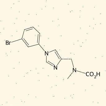 CN(Cc1cn(-c2cccc(Br)c2)cn1)C(=O)O